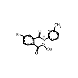 Cc1cccc(NC(=O)c2cc(Br)ccc2C(=O)OC(C)(C)C)n1